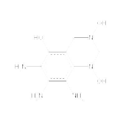 Nc1c(N)c(O)c2c(c1N)N(O)CN(O)C2